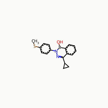 CSc1ccc(N2N=C(C3CC3)c3ccccc3B2O)cc1